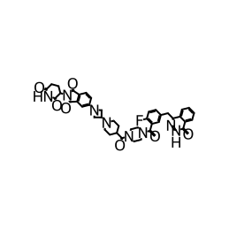 O=C1CCC(N2C(=O)c3ccc(N4CC(N5CCC(C(=O)N6CCN(C(=O)c7cc(Cc8n[nH]c(=O)c9ccccc89)ccc7F)CC6)CC5)C4)cc3C2=O)C(=O)N1